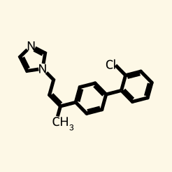 C/C(=C/Cn1ccnc1)c1ccc(-c2ccccc2Cl)cc1